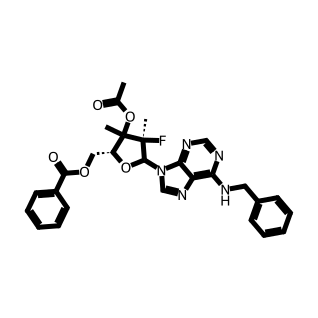 CC(=O)OC1(C)[C@@H](COC(=O)c2ccccc2)OC(n2cnc3c(NCc4ccccc4)ncnc32)[C@]1(C)F